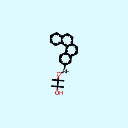 CC(C)(O)C(C)(C)OBc1ccc2c(ccc3ccc4ccccc4c32)c1